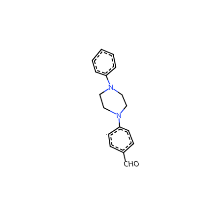 O=Cc1c[c]c(N2CCN(c3ccccc3)CC2)cc1